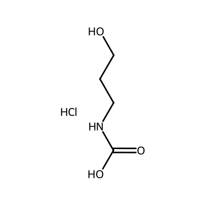 Cl.O=C(O)NCCCO